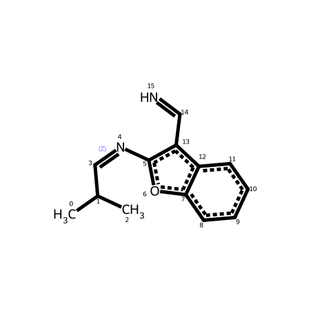 CC(C)/C=N\c1oc2ccccc2c1C=N